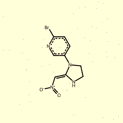 O=[N+]([O-])C=C1NCCN1c1ccc(Br)nc1